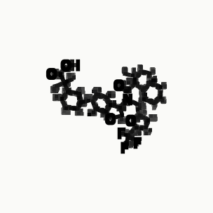 Cc1ccc2ccccc2c1C(=O)N(Cc1ccc(C(F)(F)F)o1)C1COc2cc(-c3cccc(C(C)(C)C(=O)O)c3)ccc21